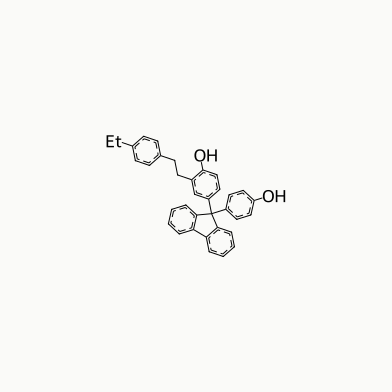 CCc1ccc(CCc2cc(C3(c4ccc(O)cc4)c4ccccc4-c4ccccc43)ccc2O)cc1